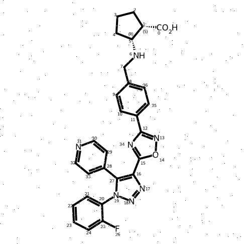 O=C(O)[C@H]1CCC[C@H]1NCc1ccc(-c2noc(-c3nnn(-c4ccccc4F)c3-c3ccncc3)n2)cc1